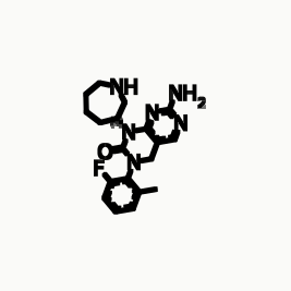 Cc1cccc(F)c1N1Cc2cnc(N)nc2N([C@@H]2CCCCNC2)C1=O